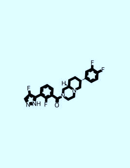 O=C(c1cccc(-c2[nH]ncc2F)c1F)N1CCN2C[C@@H](c3ccc(F)c(F)c3)CC[C@@H]2C1